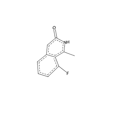 Cc1[nH]c(=O)cc2cccc(F)c12